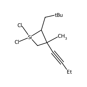 CCC#CC1(C)C[Si](Cl)(Cl)C1CC(C)(C)C